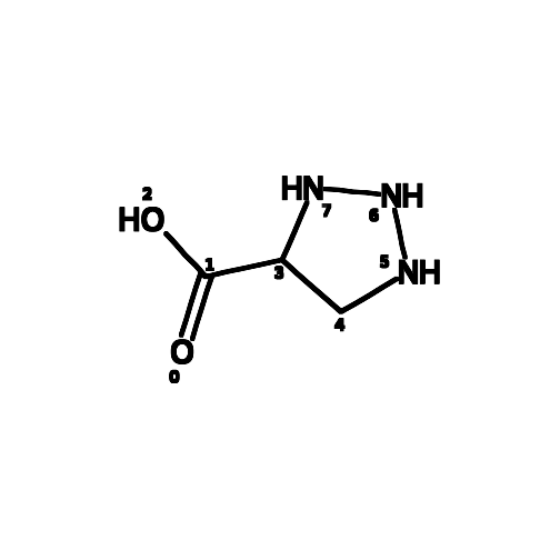 O=C(O)C1CNNN1